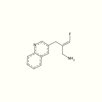 NC/C(=C/F)Cc1cnc2ccccc2c1